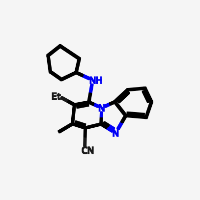 CCc1c(C)c(C#N)c2nc3ccccc3n2c1NC1CCCCC1